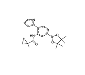 CC1(C(=O)Nc2cc(B3OC(C)(C)C(C)(C)O3)ccc2-n2cccn2)CC1